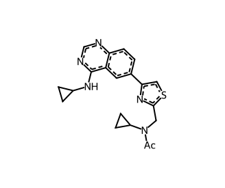 CC(=O)N(Cc1nc(-c2ccc3ncnc(NC4CC4)c3c2)cs1)C1CC1